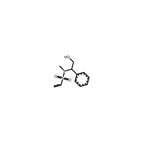 C=CS(=O)(=O)N(C)C(CO)c1ccccc1